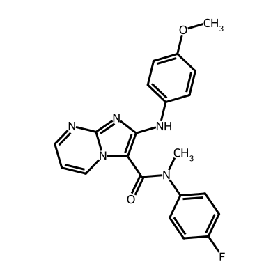 COc1ccc(Nc2nc3ncccn3c2C(=O)N(C)c2ccc(F)cc2)cc1